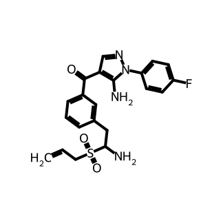 C=CCS(=O)(=O)C(N)Cc1cccc(C(=O)c2cnn(-c3ccc(F)cc3)c2N)c1